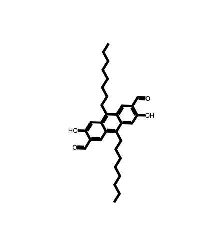 CCCCCCCCc1c2cc(O)c(C=O)cc2c(CCCCCCCC)c2cc(O)c(C=O)cc12